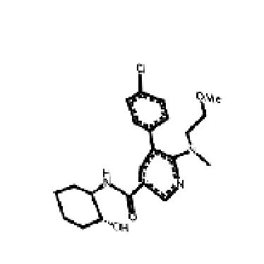 COCCN(C)c1ncc(C(=O)N[C@@H]2CCCC[C@H]2O)cc1-c1ccc(Cl)cc1